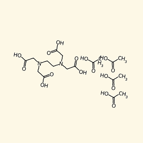 CC(=O)O.CC(=O)O.CC(=O)O.CC(=O)O.O=C(O)CN(CCN(CC(=O)O)CC(=O)O)CC(=O)O